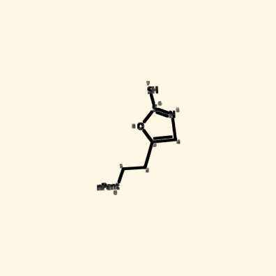 CCCCCCCC1=CN=S(S)O1